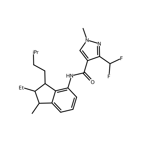 CCC1C(C)c2cccc(NC(=O)c3cn(C)nc3C(F)F)c2C1CCC(C)C